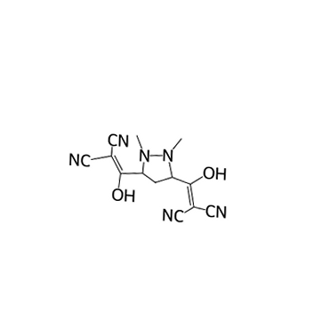 CN1C(C(O)=C(C#N)C#N)CC(C(O)=C(C#N)C#N)N1C